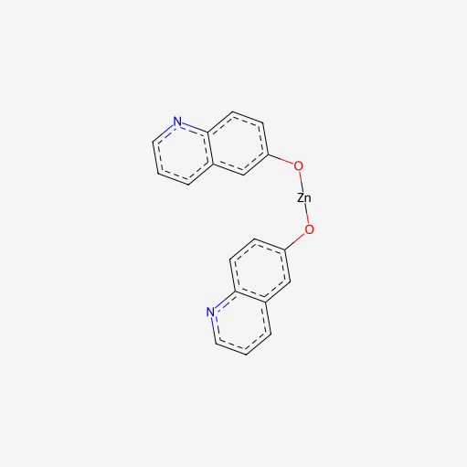 c1cnc2ccc([O][Zn][O]c3ccc4ncccc4c3)cc2c1